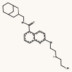 O=C(NCC1CC2CCCC(C2)C1)c1cccc2nc(NCCNCCO)ccc12